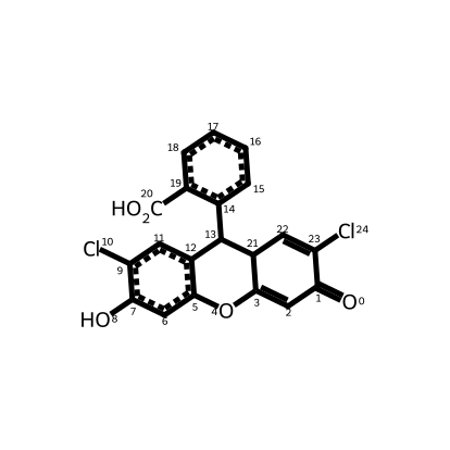 O=C1C=C2Oc3cc(O)c(Cl)cc3C(c3ccccc3C(=O)O)C2C=C1Cl